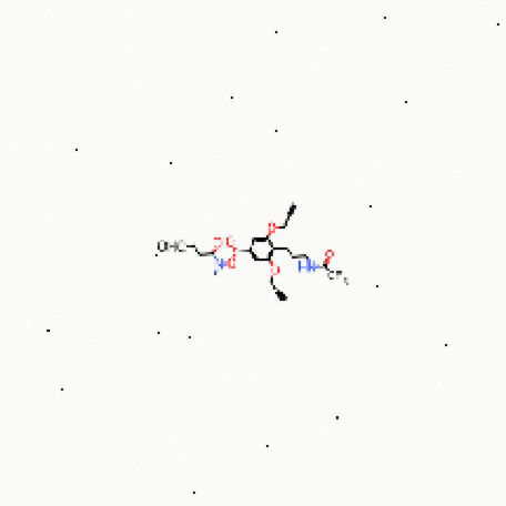 C#CCOc1cc(C(=O)ON(C)C(=O)CCC=O)cc(OCC#C)c1CCCNC(=O)C(F)(F)F